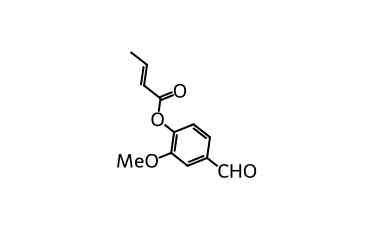 CC=CC(=O)Oc1ccc(C=O)cc1OC